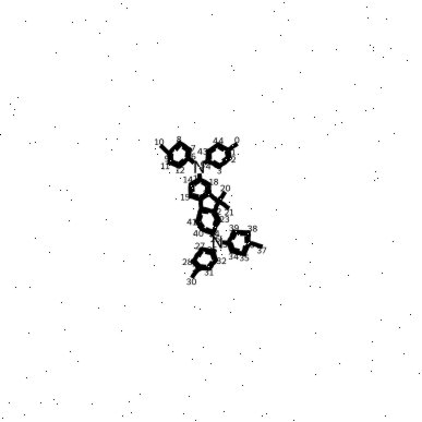 Cc1ccc(N(c2ccc(C)cc2)c2ccc3c(c2)C(C)(C)c2cc(N(c4ccc(C)cc4)c4ccc(C)cc4)ccc2-3)cc1